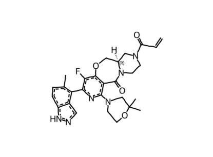 C=CC(=O)N1CCN2C(=O)c3c(N4CCOC(C)(C)C4)nc(-c4c(C)ccc5[nH]ncc45)c(F)c3OC[C@H]2C1